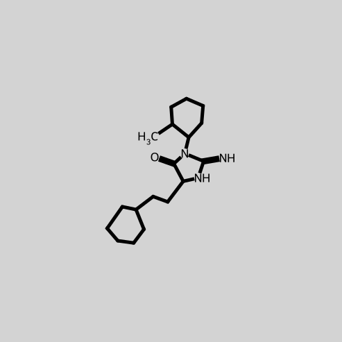 CC1CCCCC1N1C(=N)NC(CCC2CCCCC2)C1=O